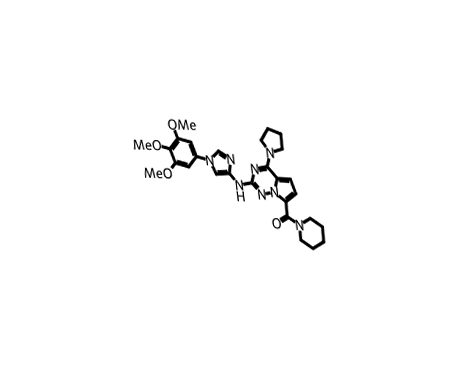 COc1cc(-n2cnc(Nc3nc(N4CCCC4)c4ccc(C(=O)N5CCCCC5)n4n3)c2)cc(OC)c1OC